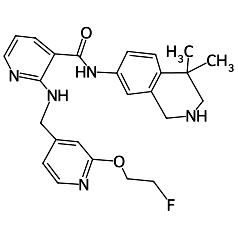 CC1(C)CNCc2cc(NC(=O)c3cccnc3NCc3ccnc(OCCF)c3)ccc21